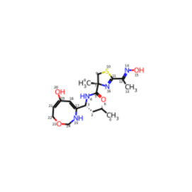 CCC[C@@H](NC(=O)[C@]1(C)CSC(/C(C)=N/O)=N1)/C1=C/C(O)=C\COCN1